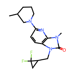 CC1CCCN(c2ccc3c(n2)n(C)c(=O)n3CC2CC2(F)F)C1